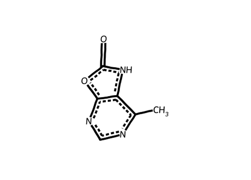 Cc1ncnc2oc(=O)[nH]c12